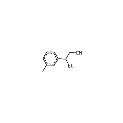 [CH2]c1cccc(C(CC)CC#N)c1